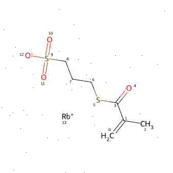 C=C(C)C(=O)SCCCS(=O)(=O)[O-].[Rb+]